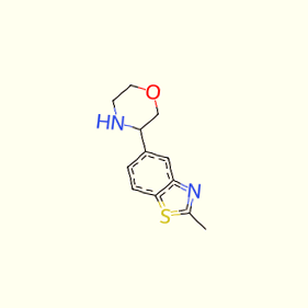 Cc1nc2cc(C3COCCN3)ccc2s1